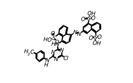 Cc1ccc(Nc2nc(Cl)nc(Nc3ccc(N=Nc4cc(S(=O)(=O)O)c5cccc(S(=O)(=O)O)c5c4)c4cccc(S(=O)(=O)O)c34)n2)cc1